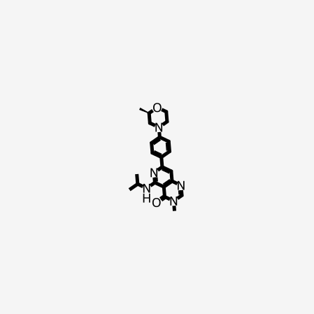 CC(C)Nc1nc(-c2ccc(N3CCO[C@H](C)C3)cc2)cc2ncn(C)c(=O)c12